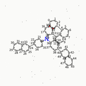 c1ccc(-c2cccc3cccc(-c4ccccc4N(c4ccc(-c5ccc6ccccc6c5)cc4)c4ccc(-c5ccc6ccccc6c5)cc4)c23)cc1